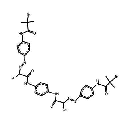 CC(=O)C(N=Nc1ccc(NC(=O)C(C)(C)Br)cc1)C(=O)Nc1ccc(NC(=O)C(N=Nc2ccc(NC(=O)C(C)(C)Br)cc2)C(C)=O)cc1